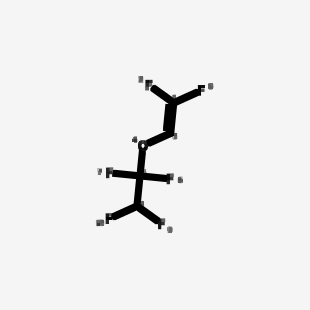 FC(F)=COC(F)(F)C(F)F